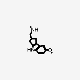 CNCC1Cc2[nH]c3ccc(OC)cc3c2C1